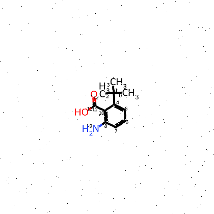 CC(C)(C)c1cccc(N)c1C(=O)O